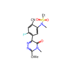 CCS(=O)(=O)N(C)c1cc(-c2nnc(OC)n(C)c2=O)c(F)cc1C#N